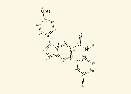 COc1ccc(-c2cnc3cnc(C(=O)N(C)c4ccc(F)cc4)cn23)cc1